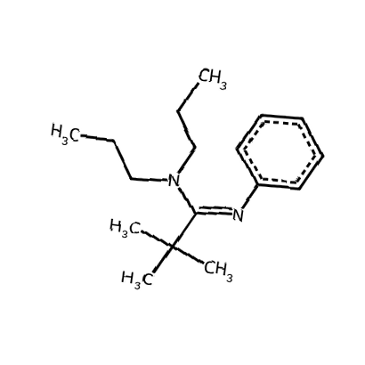 CCCN(CCC)C(=Nc1ccccc1)C(C)(C)C